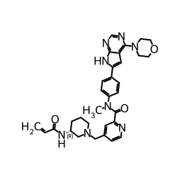 C=CC(=O)N[C@@H]1CCCN(Cc2ccnc(C(=O)N(C)c3ccc(-c4cc5c(N6CCOCC6)ncnc5[nH]4)cc3)c2)C1